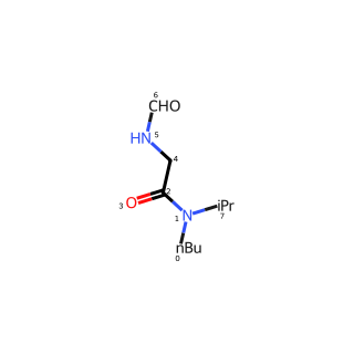 CCCCN(C(=O)CNC=O)C(C)C